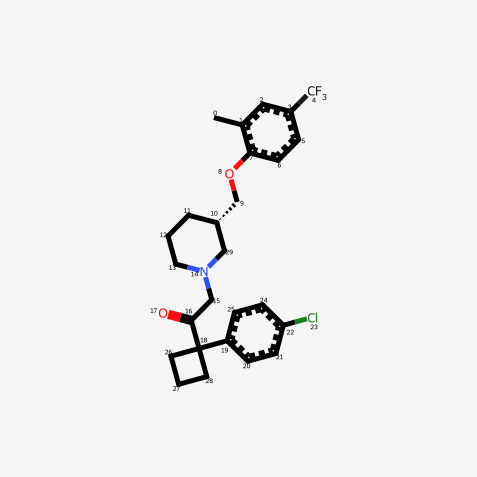 Cc1cc(C(F)(F)F)ccc1OC[C@H]1CCCN(CC(=O)C2(c3ccc(Cl)cc3)CCC2)C1